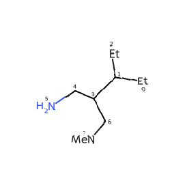 CCC(CC)C(CN)CNC